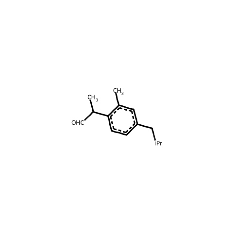 Cc1cc(CC(C)C)ccc1C(C)C=O